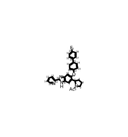 CC(=O)N1CCCC1c1cc2[nH]c(-c3ccccn3)nc2cc1Oc1ccc(-c2ccc(F)cc2)cc1